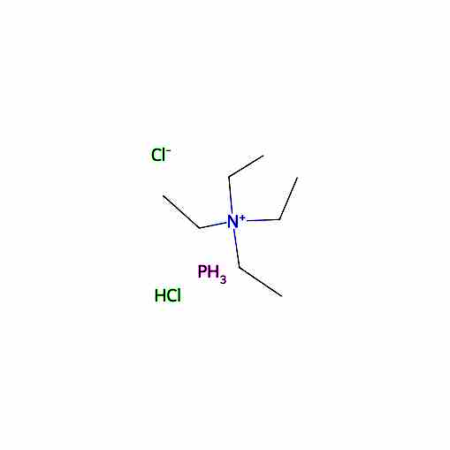 CC[N+](CC)(CC)CC.Cl.P.[Cl-]